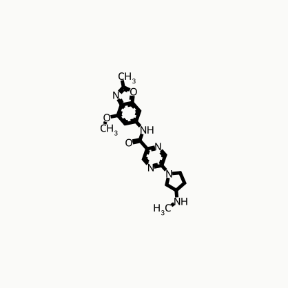 CNC1CCN(c2cnc(C(=O)Nc3cc(OC)c4nc(C)oc4c3)cn2)C1